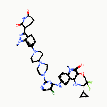 Cn1nc(C2CCC(=O)NC2=O)c2ccc(N3CCC(N4CCN(c5ncc(Cl)c(Nc6ccc7c(c6)c6c(c(=O)n7C)OCC(F)(F)[C@H](C7CC7)N6)n5)CC4)CC3)cc21